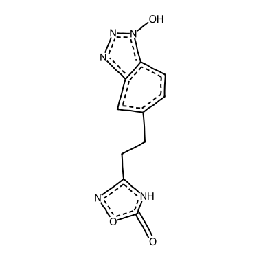 O=c1[nH]c(CCc2ccc3c(c2)nnn3O)no1